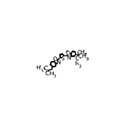 CC(C)Cc1ccc2oc(-c3ccc(-c4nc5cc(C(C)(C)C)ccc5o4)s3)nc2c1